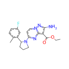 CCOC(=O)c1c(N)nn2ccc(N3CCCC3c3cc(F)ccc3C)nc12